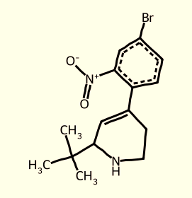 CC(C)(C)C1C=C(c2ccc(Br)cc2[N+](=O)[O-])CCN1